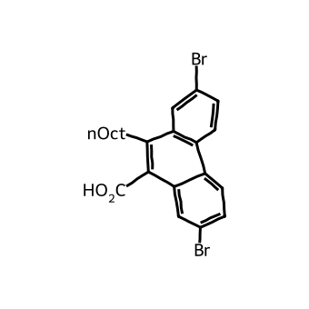 CCCCCCCCc1c(C(=O)O)c2cc(Br)ccc2c2ccc(Br)cc12